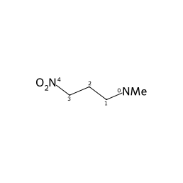 CNCCC[N+](=O)[O-]